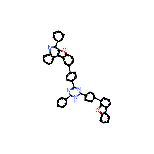 c1ccc(-c2nc3ccccc3c3c2oc2ccc(-c4ccc(C5=NC(c6ccccc6)NC(c6ccc(-c7cccc8c7oc7ccccc78)cc6)=N5)cc4)cc23)cc1